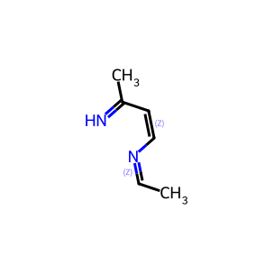 C/C=N\C=C/C(C)=N